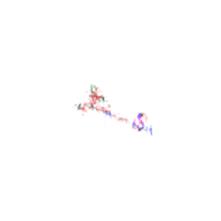 CN(C)C[C@H](NC(=O)OC(C)(C)C)C(=O)NCCOCCOCCNC(=O)COCC(COC(=O)C(C)(C)Br)(COC(=O)C(C)(C)Br)COC(=O)C(C)(C)Br